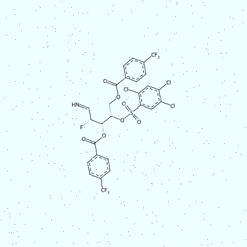 N=C[C@@H](F)[C@@H](OC(=O)c1ccc(C(F)(F)F)cc1)[C@H](COC(=O)c1ccc(C(F)(F)F)cc1)OS(=O)(=O)c1cc(Cl)c(Cl)cc1Cl